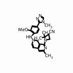 COc1cc(-c2nncn2C)ccc1NN1C=Cc2cc(C)nc(N3CC(C#N)C3(C)C)c2C1